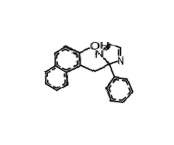 Oc1ccc2ccccc2c1CC1(c2ccccc2)N=CC=N1